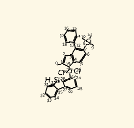 CC1=Cc2c(ccc([Si](C)(C)C)c2-c2ccccc2)[CH]1[Zr]([Cl])([Cl])[c]1cccc2c1[SiH2]c1ccccc1-2